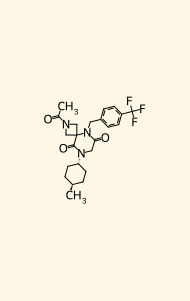 CC(=O)N1CC2(C1)C(=O)N([C@H]1CC[C@H](C)CC1)CC(=O)N2Cc1ccc(C(F)(F)F)cc1